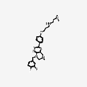 CN(C)CCNCCCOc1ccc(-c2nnc3c(n2)CN(C)CN3Cc2ccc(F)c(F)c2)cc1